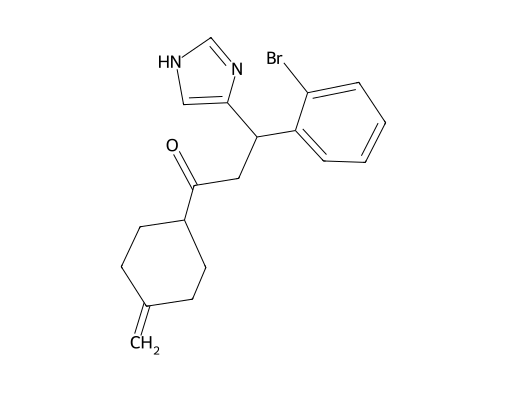 C=C1CCC(C(=O)CC(c2c[nH]cn2)c2ccccc2Br)CC1